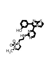 CN1CCN(CCNc2nccc(-c3c(-c4cccc(O)c4)nc4sccn34)n2)S1(=O)=O